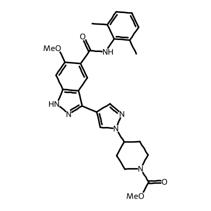 COC(=O)N1CCC(n2cc(-c3n[nH]c4cc(OC)c(C(=O)Nc5c(C)cccc5C)cc34)cn2)CC1